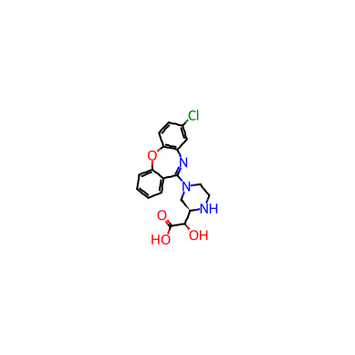 O=C(O)[C@H](O)[C@H]1CN(C2=Nc3cc(Cl)ccc3Oc3ccccc32)CCN1